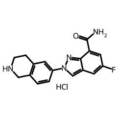 Cl.NC(=O)c1cc(F)cc2cn(-c3ccc4c(c3)CCNC4)nc12